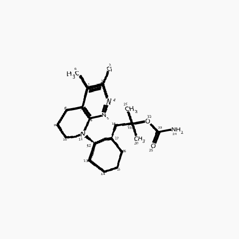 Cc1c(Cl)nnc2c1CCCN2[C@@H]1CCCC[C@@H]1CC(C)(C)OC(N)=O